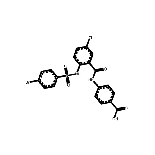 O=C(O)c1ccc(NC(=O)c2cc(Cl)ccc2NS(=O)(=O)c2ccc(Br)cc2)cc1